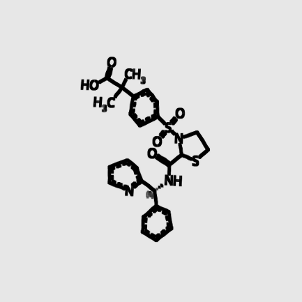 CC(C)(C(=O)O)c1ccc(S(=O)(=O)N2CCSC2C(=O)N[C@H](c2ccccc2)c2ccccn2)cc1